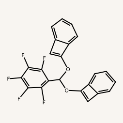 Fc1c(F)c(F)c(C(OC2=Cc3ccccc32)OC2=Cc3ccccc32)c(F)c1F